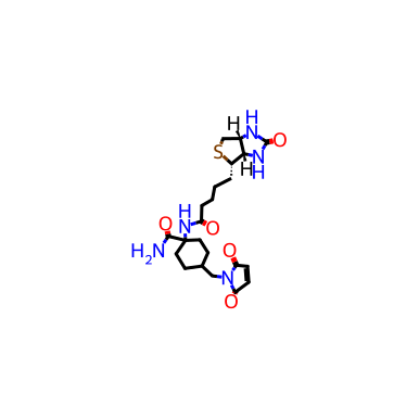 NC(=O)C1(NC(=O)CCCC[C@@H]2SC[C@@H]3NC(=O)N[C@@H]32)CCC(CN2C(=O)C=CC2=O)CC1